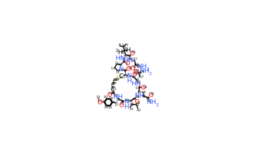 [2H]C([2H])(C(C)C)C(NC(=O)[C@@H]1CCCN1C(=O)[C@@H]1CSCCCC(=O)N[C@@H](Cc2ccc(OC)cc2)C(=O)N[C@@H](C(C)CC)C(=O)N[C@@H](CCC(N)=O)C(=O)N[C@@H](CC(N)=O)C(=O)N1)C(=O)NCC(N)=O